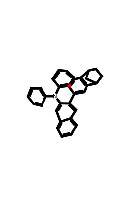 c1ccc(N(c2ccccc2)c2cc3ccccc3cc2-c2ccc3c(c2)C2CCC3C2)cc1